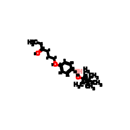 CCC(=O)CCCOc1ccc(BOC(C)(C)C(C)(C)C)cc1